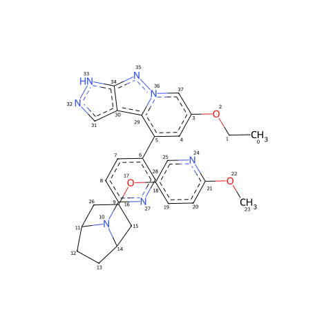 CCOc1cc(-c2ccc(N3C4CCC3CC(Oc3ccc(OC)nc3)C4)nc2)c2c3cn[nH]c3nn2c1